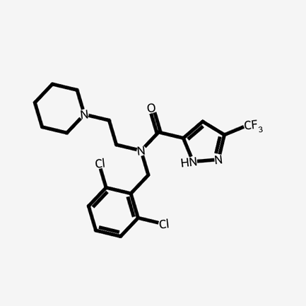 O=C(c1cc(C(F)(F)F)n[nH]1)N(CCN1CCCCC1)Cc1c(Cl)cccc1Cl